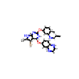 C=C/C=N\c1cc(Oc2nc(Oc3ccc4nccnc4c3)c3c(Br)c(CC)[nH]c3n2)ccc1C